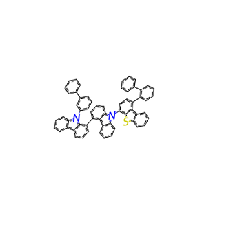 c1ccc(-c2cccc(-n3c4ccccc4c4cccc(-c5cccc6c5c5ccccc5n6-c5ccc(-c6ccccc6-c6ccccc6)c6c5sc5ccccc56)c43)c2)cc1